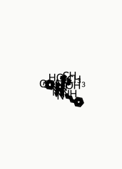 CC(O)N(c1nc(N2CC[S+]([O-])CC2)c2ncnc(NCCCc3ccccc3)c2n1)C(C)O